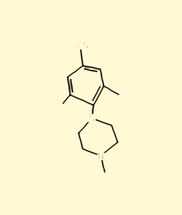 CN1CCN(c2c(F)cc(C#N)cc2F)CC1